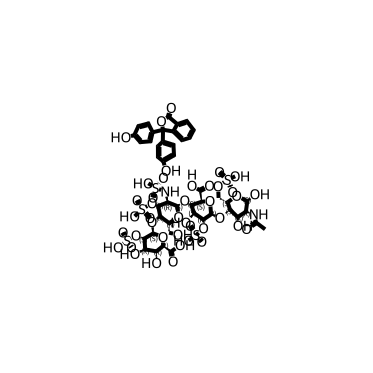 CC(=O)N[C@@H]1[C@@H](O)[C@H](O[C@@H]2O[C@H](C(=O)O)[C@@H](O[C@@H]3O[C@H](CO)[C@@H](O[C@H]4O[C@@H](C(=O)O)[C@H](O)[C@@H](O)[C@@H]4OS(=O)(=O)O)[C@H](OS(=O)(=O)O)[C@H]3NS(=O)(=O)O)[C@H](O)[C@H]2OS(=O)(=O)O)[C@H](COS(=O)(=O)O)O[C@H]1O.O=C1OC(c2ccc(O)cc2)(c2ccc(O)cc2)c2ccccc21